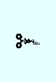 CCCCOC1CC2(C1)CN(C(c1ccccc1)c1ccccc1)C2